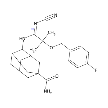 CC(C)(OCc1ccc(F)cc1)/C(=N\C#N)NC1C2CC3CC1CC(C(N)=O)(C3)C2